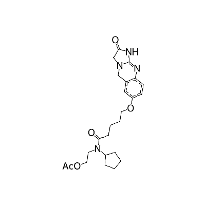 CC(=O)OCCN(C(=O)CCCCOc1ccc2c(c1)CN1CC(=O)NC1=N2)C1CCCC1